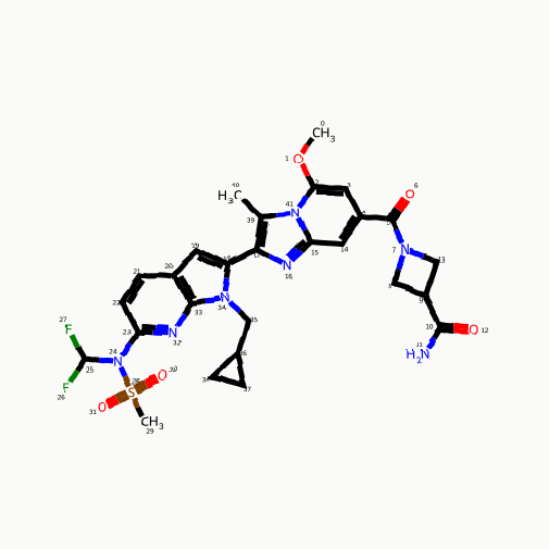 COc1cc(C(=O)N2CC(C(N)=O)C2)cc2nc(-c3cc4ccc(N(C(F)F)S(C)(=O)=O)nc4n3CC3CC3)c(C)n12